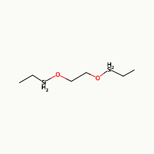 CC[SiH2]OCCO[SiH2]CC